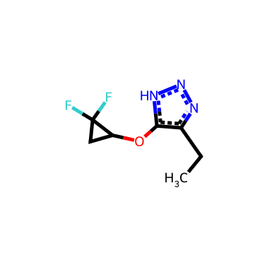 CCc1nn[nH]c1OC1CC1(F)F